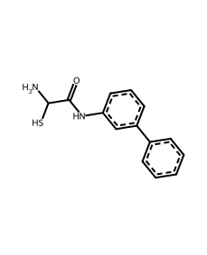 NC(S)C(=O)Nc1cccc(-c2ccccc2)c1